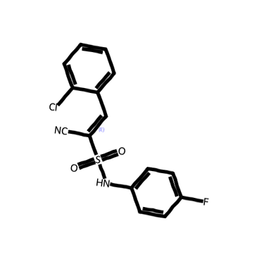 N#C/C(=C\c1ccccc1Cl)S(=O)(=O)Nc1ccc(F)cc1